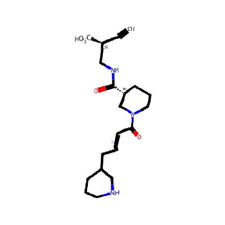 C#C[C@@H](CNC(=O)[C@@H]1CCCN(C(=O)/C=C/CC2CCCNC2)C1)C(=O)O